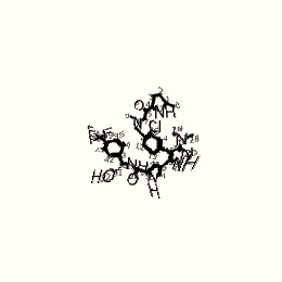 CC1CCC(C(=O)CN(C)Cc2ccc(-c3c(N(C)C)n[nH]c3-c3c[nH]c(C(=O)N[C@H](CO)c4ccc(C(F)(F)F)cc4)c3)cc2Cl)N1